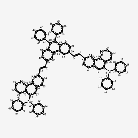 C(=C\c1ccc2cc(N(c3ccccc3)c3ccccc3)c3cccnc3c2n1)/c1ccc2c(-c3ccccc3)c(-c3ccccc3)c3ccc(/C=C/c4ccc5cc(N(c6ccccc6)c6ccccc6)c6cccnc6c5n4)cc3c2c1